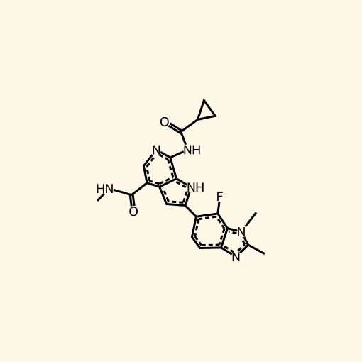 CNC(=O)c1cnc(NC(=O)C2CC2)c2[nH]c(-c3ccc4nc(C)n(C)c4c3F)cc12